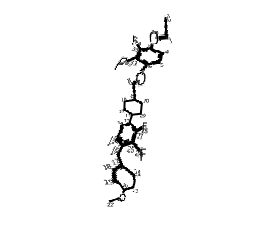 CCOc1ccc(OCC2CCC(c3ccc(C4CCC(OC)CC4)c(F)c3F)CC2)c(F)c1F